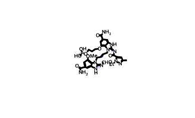 CCn1nc(C)cc1C(=O)/N=c1/[nH]c2cc(C(N)=O)cc(OCCCOP(O)O)c2n1C/C=C/Cn1/c(=N\C=O)[nH]c2cc(C(N)=O)cc(OC)c21